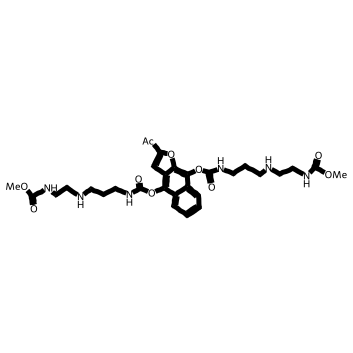 COC(=O)NCCNCCCNC(=O)Oc1c2ccccc2c(OC(=O)NCCCNCCNC(=O)OC)c2oc(C(C)=O)cc12